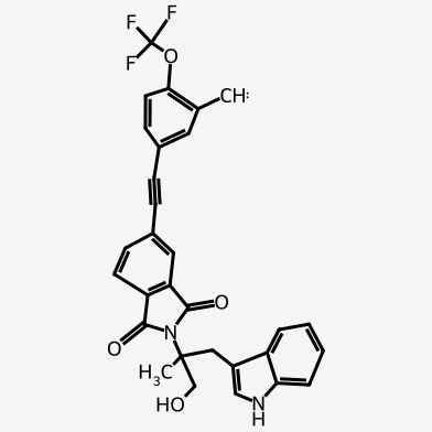 [CH]c1cc(C#Cc2ccc3c(c2)C(=O)N(C(C)(CO)Cc2c[nH]c4ccccc24)C3=O)ccc1OC(F)(F)F